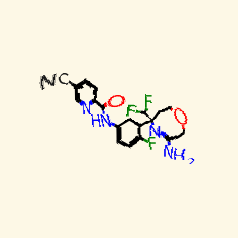 N#Cc1ccc(C(=O)NC2=CC=C(F)C([C@]3(C(F)F)CCOCC(N)=N3)C2)nc1